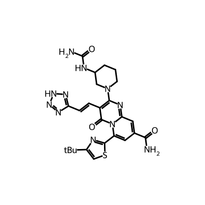 CC(C)(C)c1csc(-c2cc(C(N)=O)cc3nc(N4CCCC(NC(N)=O)C4)c(C=Cc4nn[nH]n4)c(=O)n23)n1